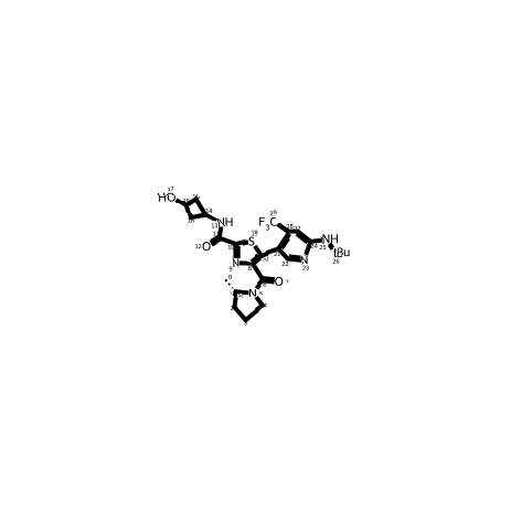 C[C@H]1CCCN1C(=O)c1nc(C(=O)NC2CC(O)C2)sc1-c1cnc(NC(C)(C)C)cc1C(F)(F)F